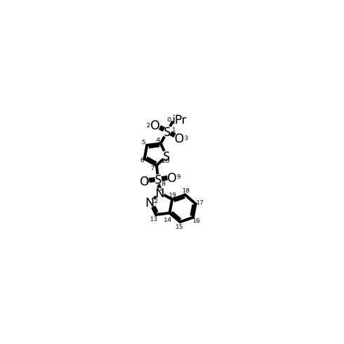 CC(C)S(=O)(=O)c1ccc(S(=O)(=O)n2ncc3ccccc32)s1